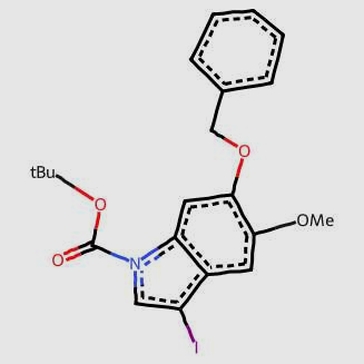 COc1cc2c(I)cn(C(=O)OC(C)(C)C)c2cc1OCc1ccccc1